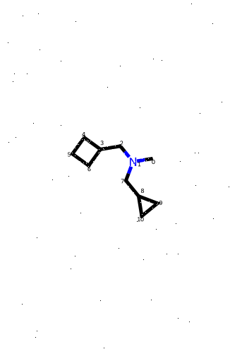 CN(CC1CCC1)CC1CC1